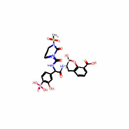 CS(=O)(=O)N1CCN(C(=O)NC(C(=O)N[C@H]2Cc3cccc(C(=O)O)c3OB2O)c2ccc(P(=O)(O)O)c(O)c2)C1=O